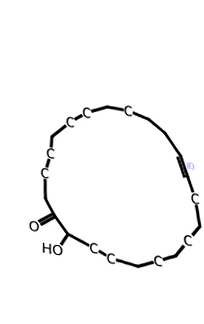 O=C1CCCCCCCCCC/C=C/CCCCCCCCC1O